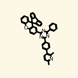 Cc1ccc(-c2ccc(-c3nc(-c4ccccc4)nc(-c4ccc5c(c4)C4(c6ccccc6O5)c5ccccc5-c5ccccc54)n3)cc2)c(C)n1